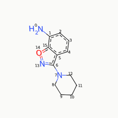 Nc1cccc2c(N3CCCCC3)noc12